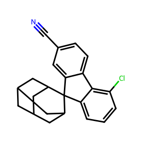 N#Cc1ccc2c(c1)C1(c3cccc(Cl)c3-2)C2CC3CC(C2)CC1C3